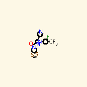 O=C(c1cc(-c2ccncc2)n(-c2ccc(C(F)(F)F)c(F)c2)n1)N1CCC2(CC1)SCCS2